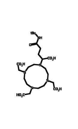 CC(C)(C)NC(=O)CCC(C(=O)O)N1CCN(CC(=O)O)CCN(CC(=O)O)CCN(CC(=O)O)CC1